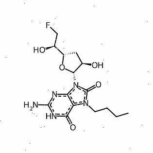 CCCCn1c(=O)n([C@@H]2O[C@H]([C@@H](O)CF)C[C@H]2O)c2nc(N)[nH]c(=O)c21